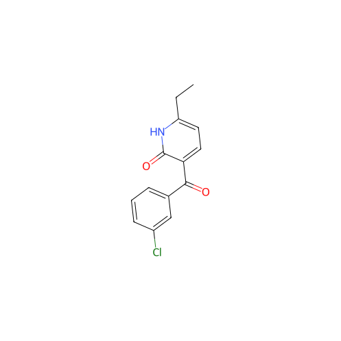 CCc1ccc(C(=O)c2cccc(Cl)c2)c(=O)[nH]1